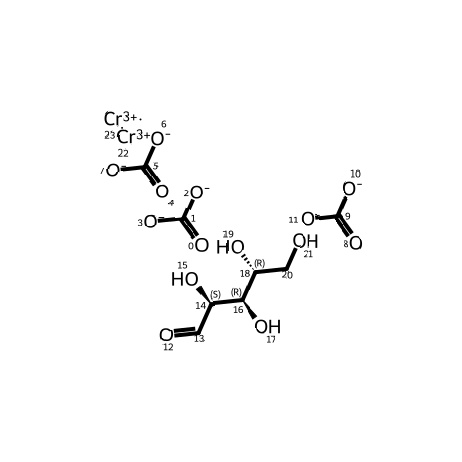 O=C([O-])[O-].O=C([O-])[O-].O=C([O-])[O-].O=C[C@@H](O)[C@H](O)[C@H](O)CO.[Cr+3].[Cr+3]